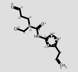 C=CCc1nnc(NC(=O)N(CCl)CCC=O)s1